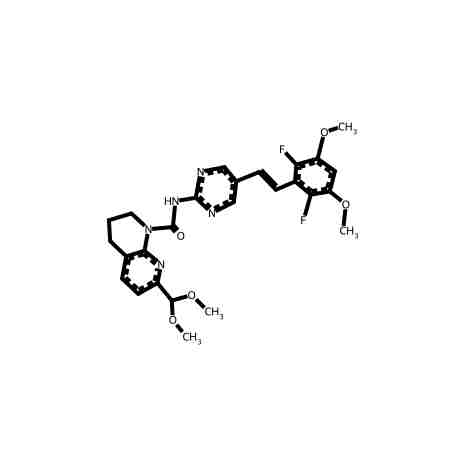 COc1cc(OC)c(F)c(C=Cc2cnc(NC(=O)N3CCCc4ccc(C(OC)OC)nc43)nc2)c1F